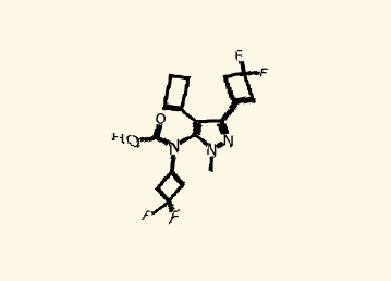 Cn1nc(C2CC(F)(F)C2)c(C2CCC2)c1N(C(=O)O)C1CC(F)(F)C1